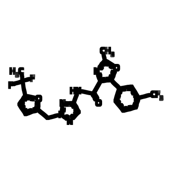 Cc1nc(C(=O)Nc2cnn(Cc3ccc(C(C)(F)F)o3)n2)c(-c2cccc(C(F)(F)F)c2)o1